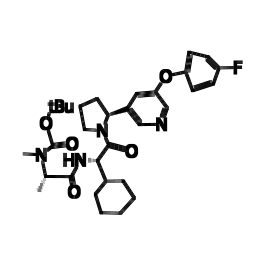 C[C@@H](C(=O)N[C@H](C(=O)N1CCC[C@H]1c1cncc(Oc2ccc(F)cc2)c1)C1CCCCC1)N(C)C(=O)OC(C)(C)C